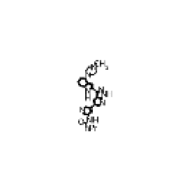 CCCC(=O)Nc1cncc(-c2cnc3[nH]nc(-c4cc5c(N6CCN(C)CC6)cccc5[nH]4)c3c2)c1